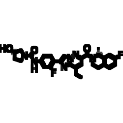 CCc1cc(C(=O)N2CCc3ccc(F)cc3[C@H]2C)nn2cc(-c3ccc(NC(=O)N4CC[C@@H](O)C4)cc3F)nc12